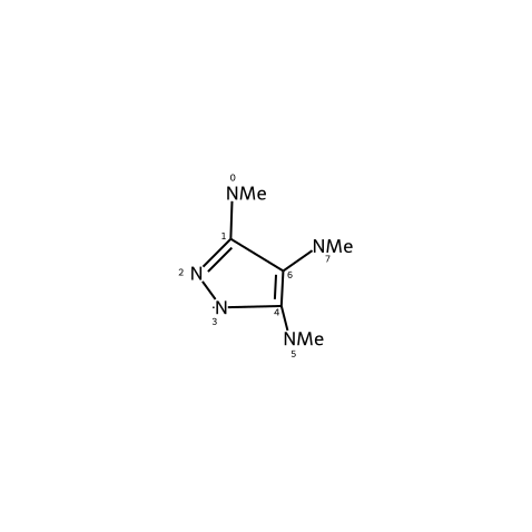 CNC1=N[N]C(NC)=C1NC